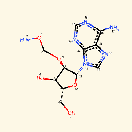 NOCO[C@@H]1[C@H](O)[C@@H](CO)O[C@H]1n1cnc2c(N)ncnc21